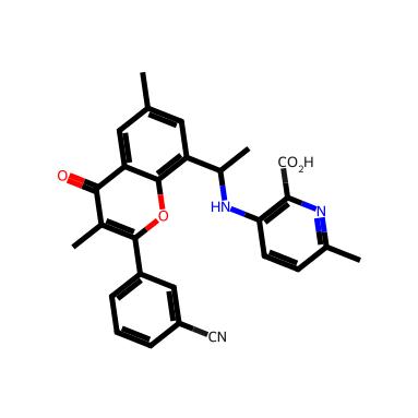 Cc1cc(C(C)Nc2ccc(C)nc2C(=O)O)c2oc(-c3cccc(C#N)c3)c(C)c(=O)c2c1